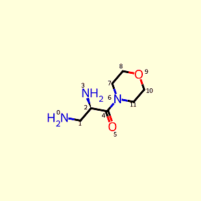 NC[C@@H](N)C(=O)N1CCOCC1